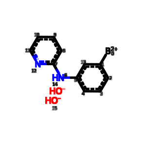 [B+2]c1cccc(Nc2ccccn2)c1.[OH-].[OH-]